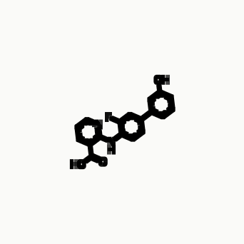 O=C(O)c1cccnc1Nc1ccc(-c2cccc(O)c2)cc1F